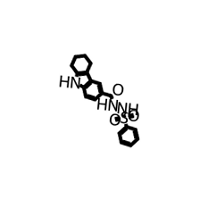 O=C(NNS(=O)(=O)c1ccccc1)c1ccc2[nH]c3c(c2c1)CCCC3